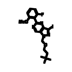 COc1cccc(F)c1-c1ncc2c(n1)c(I)nn2COCCS(C)(C)C